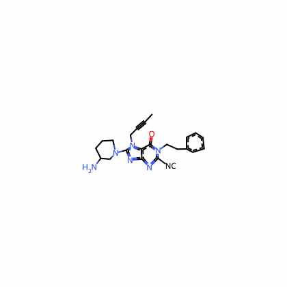 [C-]#[N+]c1nc2nc(N3CCCC(N)C3)n(CC#CC)c2c(=O)n1CCc1ccccc1